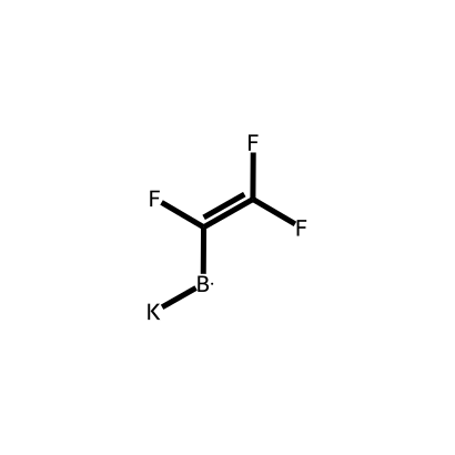 FC(F)=C(F)[B][K]